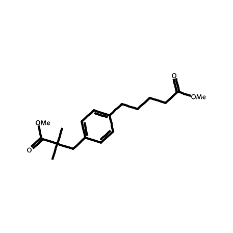 COC(=O)CCCCc1ccc(CC(C)(C)C(=O)OC)cc1